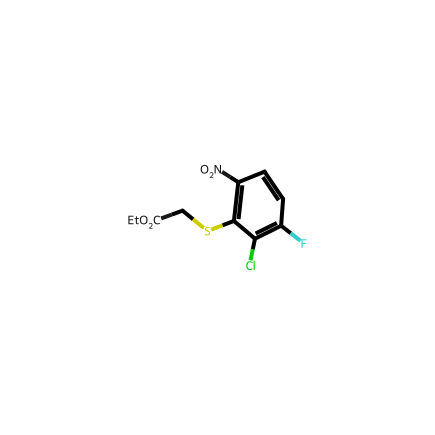 CCOC(=O)CSc1c([N+](=O)[O-])ccc(F)c1Cl